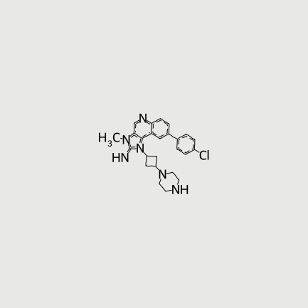 Cn1c(=N)n(C2CC(N3CCNCC3)C2)c2c3cc(-c4ccc(Cl)cc4)ccc3ncc21